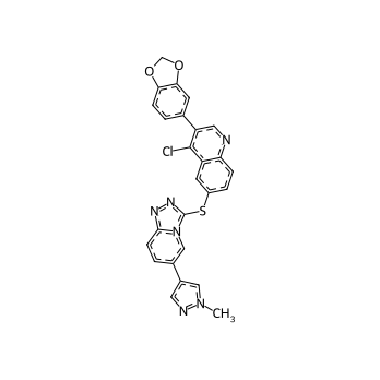 Cn1cc(-c2ccc3nnc(Sc4ccc5ncc(-c6ccc7c(c6)OCO7)c(Cl)c5c4)n3c2)cn1